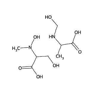 CC(NCO)C(=O)O.CN(O)C(CO)C(=O)O